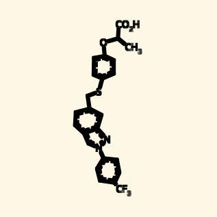 CC(Oc1ccc(SCc2ccc3cn(-c4ccc(C(F)(F)F)cc4)nc3c2)cc1)C(=O)O